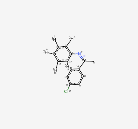 [2H]c1c([2H])c([2H])c(/N=C(/C)c2ccc(Cl)cc2)c([2H])c1[2H]